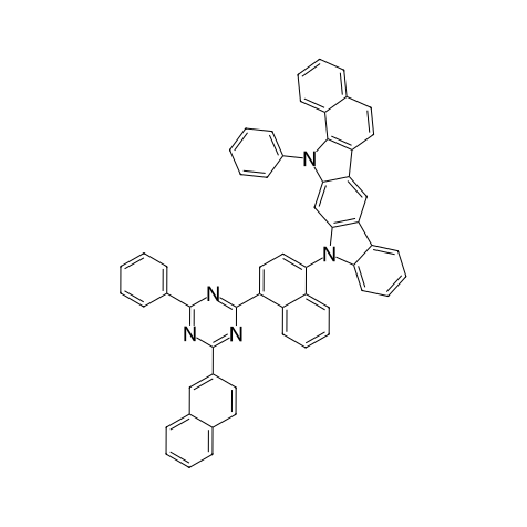 c1ccc(-c2nc(-c3ccc4ccccc4c3)nc(-c3ccc(-n4c5ccccc5c5cc6c7ccc8ccccc8c7n(-c7ccccc7)c6cc54)c4ccccc34)n2)cc1